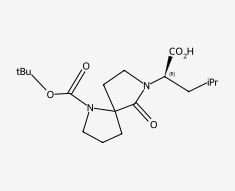 CC(C)C[C@H](C(=O)O)N1CCC2(CCCN2C(=O)OC(C)(C)C)C1=O